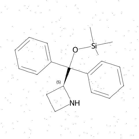 C[Si](C)(C)OC(c1ccccc1)(c1ccccc1)[C@@H]1CCN1